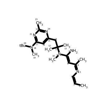 C\C=C/N=C(C)\C=C(/N)N(C)C(C)(C)Cc1cc(N(C)C(C)(C)C)nc(C)n1